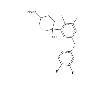 CCCCCC1CCC(O)(c2cc(Cc3ccc(F)c(F)c3)cc(F)c2F)CC1